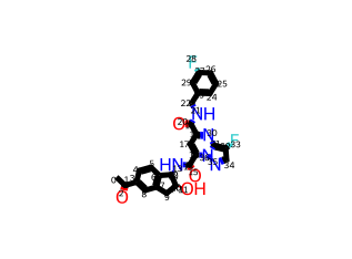 CC(=O)c1ccc2c(c1)C[C@@H](O)[C@@H]2NC(=O)c1cc(C(=O)NCc2cccc(F)c2)nc2c(F)cnn12